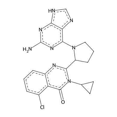 Nc1nc(N2CCCC2c2nc3cccc(Cl)c3c(=O)n2C2CC2)c2nc[nH]c2n1